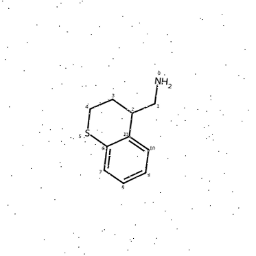 NCC1CCSc2ccccc21